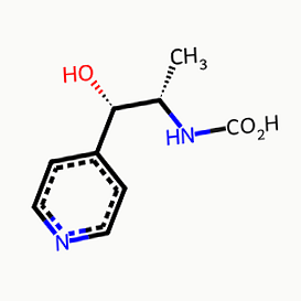 C[C@H](NC(=O)O)[C@@H](O)c1ccncc1